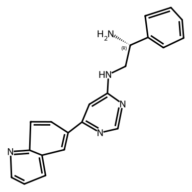 N[C@@H](CNc1cc(-c2ccc3ncccc3c2)ncn1)c1ccccc1